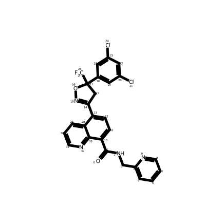 O=C(NCc1ccccn1)c1ccc(C2=NOC(c3cc(Cl)cc(Cl)c3)(C(F)(F)F)C2)c2cccnc12